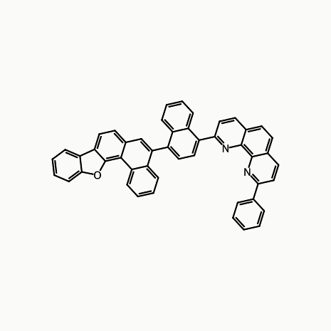 c1ccc(-c2ccc3ccc4ccc(-c5ccc(-c6cc7ccc8c9ccccc9oc8c7c7ccccc67)c6ccccc56)nc4c3n2)cc1